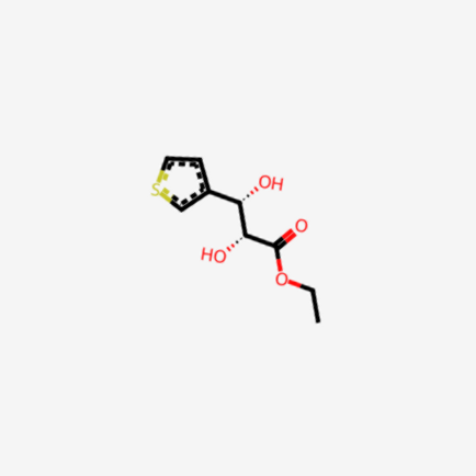 CCOC(=O)[C@H](O)[C@@H](O)c1ccsc1